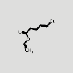 C=COC(=O)CCC=CCC